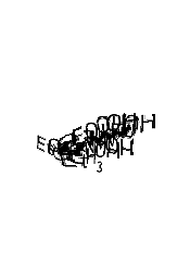 CCO[Si](OCC)(OCC)C(C)CNC(=O)[C@H](O)[C@@H](O)[C@H](O)[C@H](O)CO